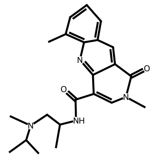 Cc1cccc2cc3c(=O)n(C)cc(C(=O)NC(C)CN(C)C(C)C)c3nc12